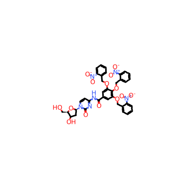 O=C(Nc1ccn([C@H]2CC(O)[C@@H](CO)O2)c(=O)n1)c1cc(OCc2ccccc2[N+](=O)[O-])c(OCc2ccccc2[N+](=O)[O-])c(OCc2ccccc2[N+](=O)[O-])c1